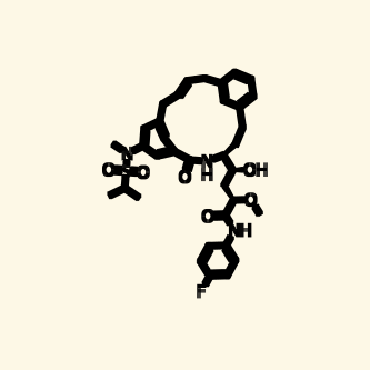 CO[C@H](C[C@H](O)[C@@H]1CCc2cccc(c2)C/C=C/Cc2cc(cc(N(C)S(=O)(=O)C(C)C)c2)C(=O)N1)C(=O)Nc1ccc(F)cc1